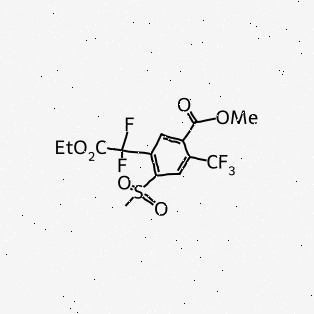 CCOC(=O)C(F)(F)c1cc(C(=O)OC)c(C(F)(F)F)cc1S(C)(=O)=O